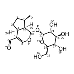 C[C@@H]1CC[C@@H]2C(C=O)=CO[C@@H](O[C@@H]3O[C@H](CO)[C@@H](O)[C@H](O)[C@H]3O)[C@H]12